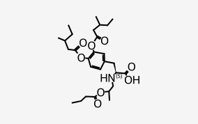 CCCC(=O)OC(C)CN[C@@H](Cc1ccc(OC(=O)CC(C)CC)c(OC(=O)CC(C)CC)c1)C(=O)O